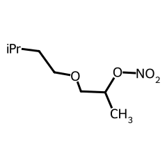 CC(C)CCOCC(C)O[N+](=O)[O-]